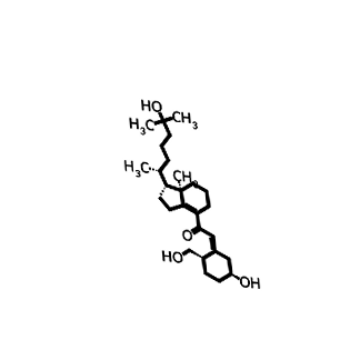 C[C@H](CCCC(C)(C)O)[C@H]1CCC2=C(C(=O)/C=C3/C[C@@H](O)CC[C@H]3CO)CCC[C@@]21C